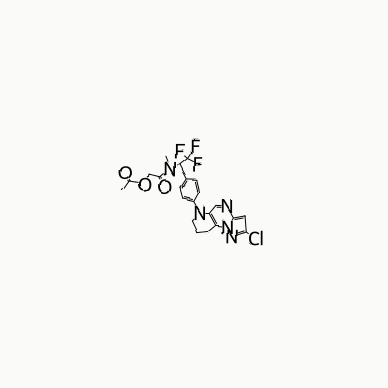 CC(=O)OCC(=O)N(C)[C@@H](c1ccc(N2CCCc3c2cnc2cc(Cl)nn32)cc1)C(F)(F)F